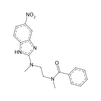 CN(CCN(C)c1nc2cc([N+](=O)[O-])ccc2[nH]1)C(=O)c1ccccc1